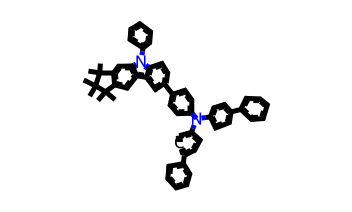 CC1(C)c2cc3c4cc(-c5ccc(N(c6ccc(-c7ccccc7)cc6)c6ccc(-c7ccccc7)cc6)cc5)ccc4n(-c4ccccc4)c3cc2C(C)(C)C1(C)C